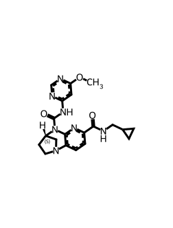 COc1cc(NC(=O)N2c3nc(C(=O)NCC4CC4)ccc3N3CC[C@H]2C3)ncn1